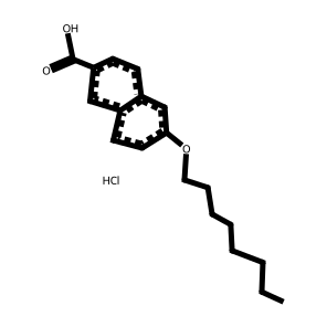 CCCCCCCCOc1ccc2cc(C(=O)O)ccc2c1.Cl